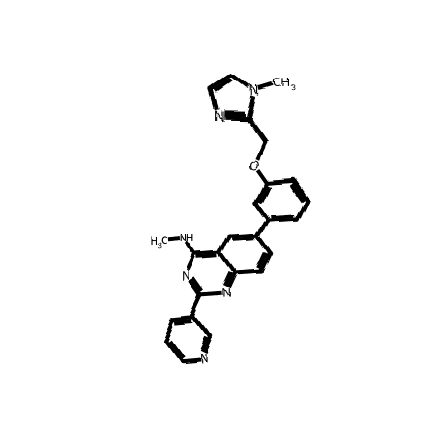 CNc1nc(-c2cccnc2)nc2ccc(-c3cccc(OCc4nccn4C)c3)cc12